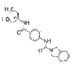 CC[C@H](CO)NC(=O)c1ccc(NC(=O)N2Cc3ccccc3C2)cc1